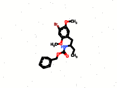 CCC(Cc1cc(OC)c(Br)cc1OC)NC(=O)OCc1ccccc1